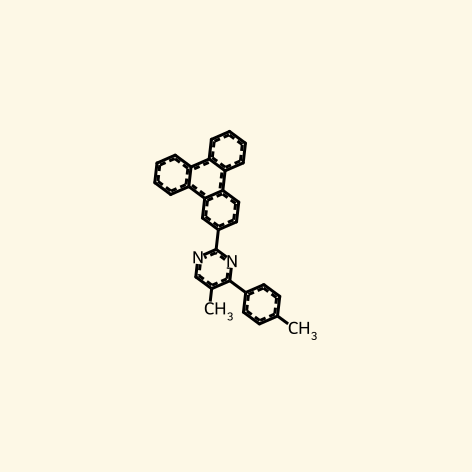 Cc1ccc(-c2nc(-c3ccc4c5ccccc5c5ccccc5c4c3)ncc2C)cc1